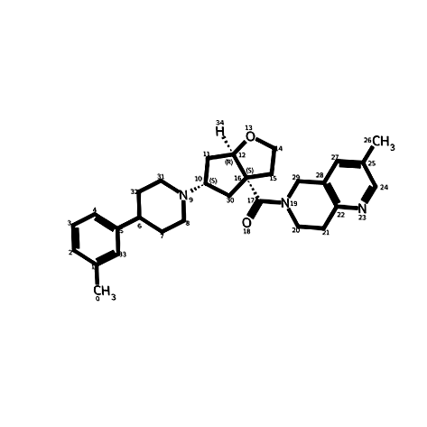 Cc1cccc(C2CCN([C@@H]3C[C@H]4OCC[C@@]4(C(=O)N4CCc5ncc(C)cc5C4)C3)CC2)c1